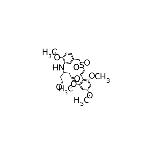 COc1cc(OC)c(C=CS(=O)(=O)Cc2ccc(OC)c(NC(CC=O)CC=O)c2)c(OC)c1